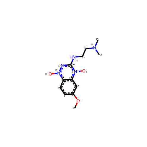 COc1ccc2c(c1)[n+]([O-])c(NCCN(C)C)n[n+]2[O-]